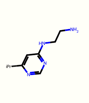 CC(C)c1cc(NCCN)ncn1